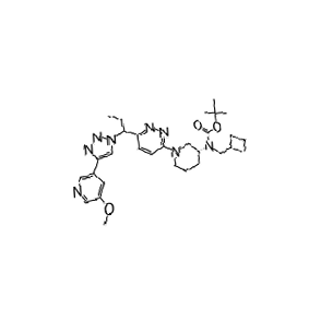 CCC(c1ccc(N2CCC[C@@H](N(CC3CCC3)C(=O)OC(C)(C)C)C2)nn1)n1cc(-c2cncc(OC)c2)nn1